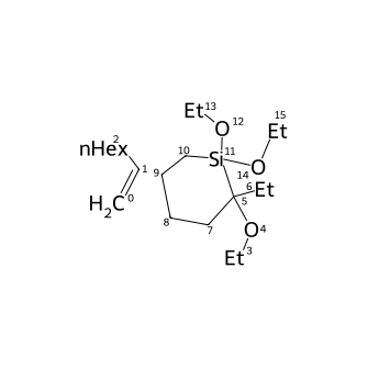 C=CCCCCCC.CCOC1(CC)CCCC[Si]1(OCC)OCC